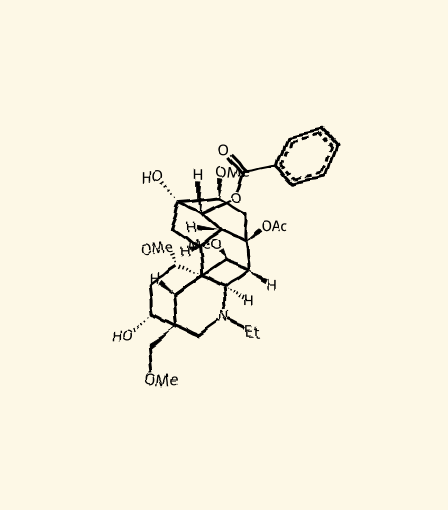 CCN1C[C@]2(COC)[C@H](O)C[C@H](OC)[C@@]34[C@@H]5C[C@@]6(O)[C@@H](OC)C[C@@](OC(C)=O)([C@H]5[C@H]6OC(=O)c5ccccc5)[C@@H]([C@H](OC)[C@H]23)[C@@H]14